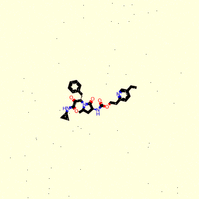 CCc1ccc(CCOC(=O)N[C@H]2CC(C)N([C@@H](Cc3ccccc3)C(=O)C(=O)NC3CC3)C2=O)nc1